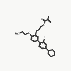 C=C(C)C(=O)OCCCc1cc(-c2ccc(C3CCCCC3)cc2F)ccc1OCCO